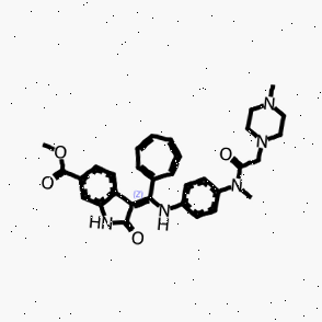 COC(=O)c1ccc2c(c1)NC(=O)/C2=C(\Nc1ccc(N(C)C(=O)CN2CCN(C)CC2)cc1)C1=CC=CC=C=C1